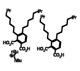 CC(C)CCCCCc1ccc(C(=O)O)c(C(=O)O)c1CCCCCC(C)C.CC(C)CCCCCc1ccc(C(=O)O)c(C(=O)O)c1CCCCCC(C)C.CCC[CH2][Sn][CH2]CCC